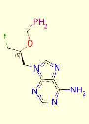 Nc1ncnc2c1ncn2C[C@@H](CF)OCP